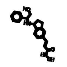 O=C(/C=C/c1ccc2c(c1)CCC2NC(CO)c1ccccc1)NO